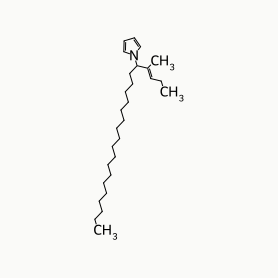 CC/C=C(\C)C(CCCCCCCCCCCCCCCCCC)n1cccc1